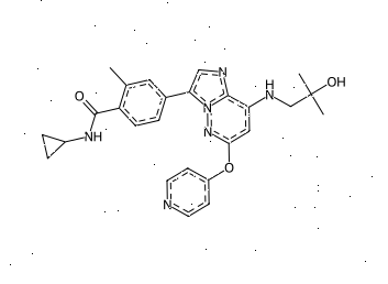 Cc1cc(-c2cnc3c(NCC(C)(C)O)cc(Oc4ccncc4)nn23)ccc1C(=O)NC1CC1